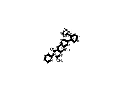 CCCCc1nc(C)n(-c2ccccn2)c(=O)c1Cc1ccc(-c2ccccc2-c2nnn[nH]2)cn1